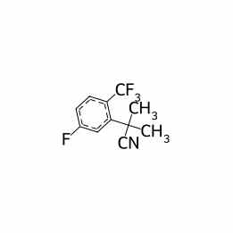 CC(C)(C#N)c1cc(F)ccc1C(F)(F)F